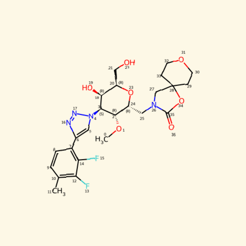 CO[C@@H]1[C@@H](n2cc(-c3ccc(C)c(F)c3F)nn2)[C@@H](O)[C@@H](CO)O[C@@H]1CN1CC2(CCOCC2)OC1=O